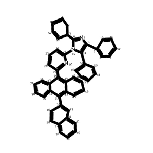 C1=CCC(c2nc(-c3ccccc3)c(-c3ccccc3)n2-c2cccc(-c3c4ccccc4c(-c4ccc5ccccc5c4)c4ccccc34)n2)C=C1